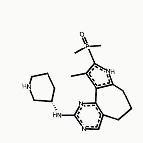 Cc1c(P(C)(C)=O)[nH]c2c1-c1nc(N[C@H]3CCCNC3)ncc1CCC2